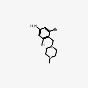 CCc1cc(N)cc(Br)c1CN1CCN(C)CC1